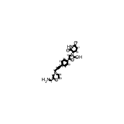 NC[C@H]1CN(CC#Cc2ccc([C@H]3CN(C4CCC(=O)NC4=O)C(O)O3)cc2)CCO1